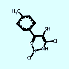 Cc1ccc(C2=NN(Cl)NC(Cl)=C2S)cc1